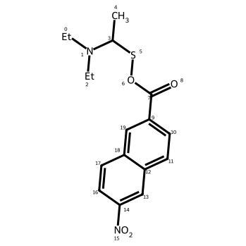 CCN(CC)C(C)SOC(=O)c1ccc2cc([N+](=O)[O-])ccc2c1